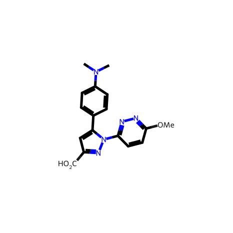 COc1ccc(-n2nc(C(=O)O)cc2-c2ccc(N(C)C)cc2)nn1